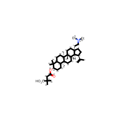 C=C(C)[C@@H]1CC[C@]2(CCN(CC)CC)CC[C@]3(C)[C@H](CCC4[C@@]5(C)CC[C@H](OC(=O)CC(C)(C)C(=O)O)C(C)(C)C5CC[C@]43C)C12